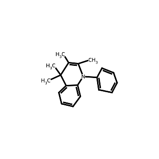 CC1=C(C)C(C)(C)c2ccccc2N1c1ccccc1